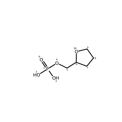 O=P(O)(O)OCC1CCCO1